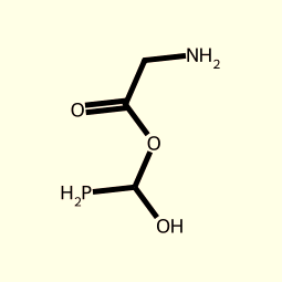 NCC(=O)OC(O)P